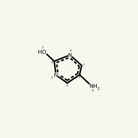 Nc1[c]nc(O)nc1